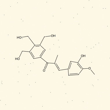 COc1ccc(/C=C(\C)C(=O)c2cc(CO)c(CO)c(CO)c2)cc1O